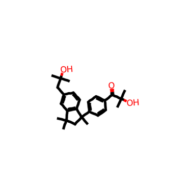 CC(C)(O)Cc1ccc2c(c1)C(C)(C)CC2(C)c1ccc(C(=O)C(C)(C)O)cc1